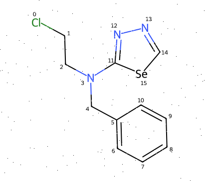 ClCCN(Cc1ccccc1)c1nnc[se]1